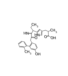 CCC(C(=N)C(=O)Cc1ccc(O)cc1-c1ccccc1C)c1cc(CC(C)C(=O)O)c[nH]1